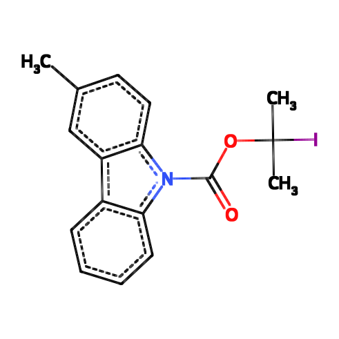 Cc1ccc2c(c1)c1ccccc1n2C(=O)OC(C)(C)I